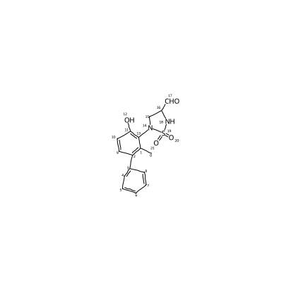 Cc1c(-c2ccccc2)ccc(O)c1N1CC(C=O)NS1(=O)=O